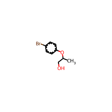 CC(CO)Oc1ccc(Br)cc1